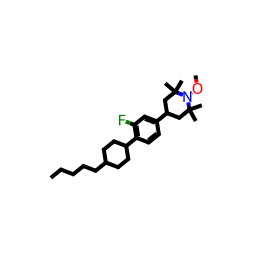 CCCCCC1CCC(c2ccc(C3CC(C)(C)N(OC)C(C)(C)C3)cc2F)CC1